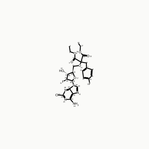 CCOC(=O)C(Cc1ccc(F)cc1)(OC[C@H]1O[C@@H](n2cnc3c(N)nc(Cl)nc32)[C@@H](F)[C@@H]1O)C(=O)OCC